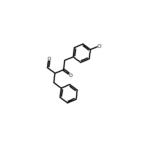 O=[C]C(Cc1ccccc1)C(=O)Cc1ccc(Cl)cc1